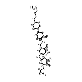 CCCCCC1CCC(c2ccc(CCc3cc4c(c(F)c3F)-c3c(cc(CCC)c(F)c3F)C4)c(F)c2)CC1